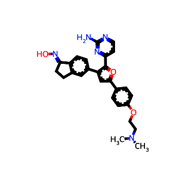 CN(C)CCOc1ccc(-c2cc(-c3ccc4c(c3)CC/C4=N\O)c(-c3ccnc(N)n3)o2)cc1